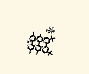 CC(C)(C)c1ccnc(-c2cc(C(C)(C)C)ccn2)c1.Cc1ccc(-c2[c-]cc(F)cc2)nc1.Cc1ccc(-c2[c-]cc(F)cc2)nc1.F[P-](F)(F)(F)(F)F.[Ir+3]